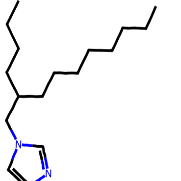 CCCCCCCCC(CCCC)Cn1ccnc1